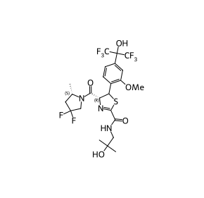 COc1cc(C(O)(C(F)(F)F)C(F)(F)F)ccc1C1SC(C(=O)NCC(C)(C)O)=N[C@@H]1C(=O)N1CC(F)(F)C[C@@H]1C